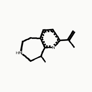 C=C(C)c1ccc2c(n1)C(C)CNCC2